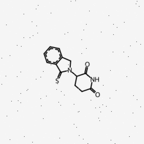 O=C1CCC(N2Cc3ccccc3C2=S)C(=O)N1